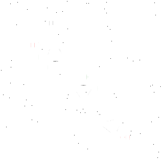 CCCC(O)c1ccc(C2CCC(c3ccc(C4CC=C(c5ccc(O)c(F)c5F)CC4)c(F)c3F)CC2)c(F)c1F